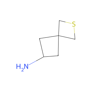 NC1CC2(CSC2)C1